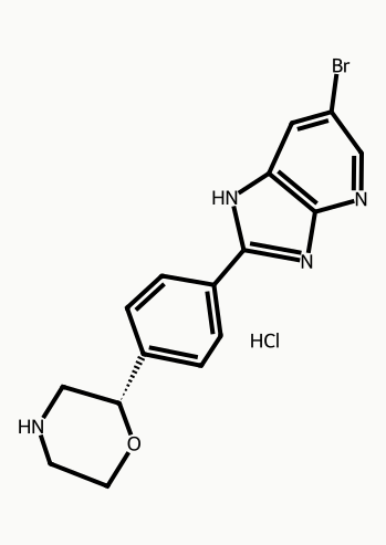 Brc1cnc2nc(-c3ccc([C@H]4CNCCO4)cc3)[nH]c2c1.Cl